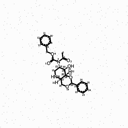 CC(=O)N(C(=O)OCc1ccccc1)[C@H]1CN[C@@H]2COC(c3ccccc3)O[C@H]2[C@@H]1O